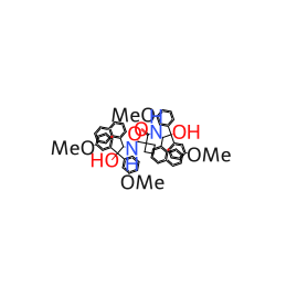 COc1cccc(C(O)(c2cccc(OC)c2)[C@@H](NC(=O)C2(C(=O)N[C@@H](c3cccc4ccccc34)C(O)(c3cccc(OC)c3)c3cccc(OC)c3)CCC2)c2cccc3ccccc23)c1